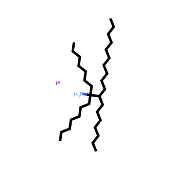 CCCCCCCCCCC(CCCCCCC)C(N)(CCCCCCC)CCCCCCC.I